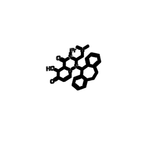 CC(C)N1C(=O)C2C(O)C(=O)C=CN2N(C2c3ccccc3CCc3ccccc32)C1CN(C)C